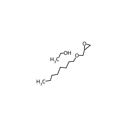 CCCCCCCCOCC1CO1.CCO